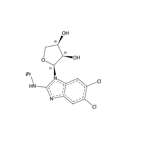 CC(C)Nc1nc2cc(Cl)c(Cl)cc2n1[C@H]1OC[C@@H](O)[C@H]1O